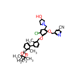 Cc1c(COc2cc(OCc3cncc(C#N)c3)c(CN3CC[C@@H](O)C3)cc2Cl)cccc1-c1cccc(B2OC(C)(C)C(C)(C)O2)c1C